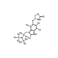 [2H]c1[nH]c2c([2H])c([2H])c(C[C@H]3COC(=O)N3)c([2H])c2c1CC([2H])([2H])N(C([2H])([2H])[2H])C([2H])([2H])[2H]